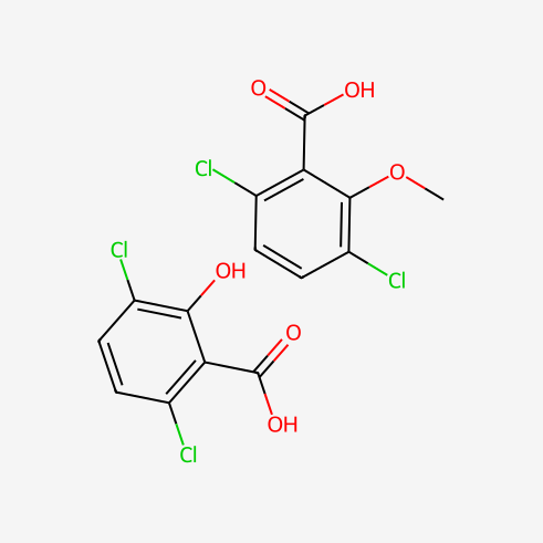 COc1c(Cl)ccc(Cl)c1C(=O)O.O=C(O)c1c(Cl)ccc(Cl)c1O